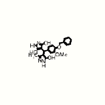 COc1cc(C(c2c(C)n[nH]c2O)C2C(C)=NNC2O)ccc1OCc1ccccc1